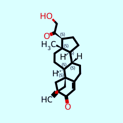 C#CC[C@]12CCC(=O)C=C1CC[C@@H]1[C@@H]2CC[C@]2(C)[C@@H](C(=O)CO)CC[C@@H]12